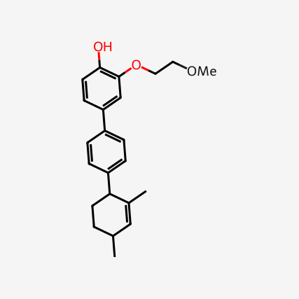 COCCOc1cc(-c2ccc(C3CCC(C)C=C3C)cc2)ccc1O